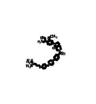 COc1cc(N2CCC3(CCN(C(O)c4ccc(N5CCN(Cc6ccc(OCCCN(C)C)cc6)CC5)cc4)CC3)C2=O)ccc1/C(C=N)=C/N